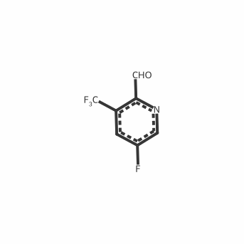 O=Cc1ncc(F)cc1C(F)(F)F